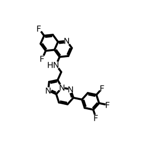 Fc1cc(F)c2c(NCc3cnc4ccc(-c5cc(F)c(F)c(F)c5)nn34)ccnc2c1